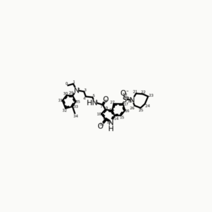 CCN(CCCNC(=O)c1cc(=O)[nH]c2ccc([S+]([O-])N3CCCCCC3)cc12)c1cccc(C)c1